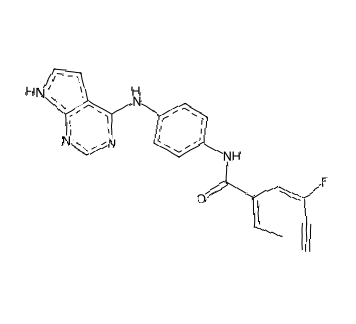 C#C/C(F)=C\C(=C/C)C(=O)Nc1ccc(Nc2ncnc3[nH]ccc23)cc1